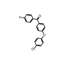 O=C(c1ccc(F)cc1)c1ccc(Oc2ccc(Cl)cc2)cc1